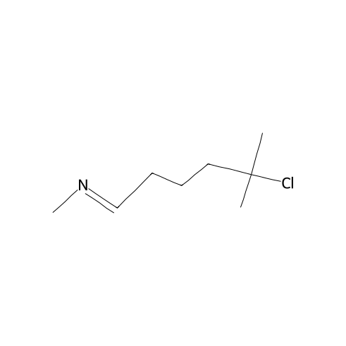 C/N=C/CCCC(C)(C)Cl